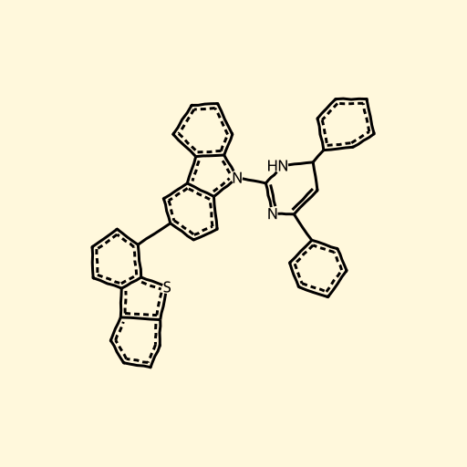 C1=C(c2ccccc2)N=C(n2c3ccccc3c3cc(-c4cccc5c4sc4ccccc45)ccc32)NC1c1ccccc1